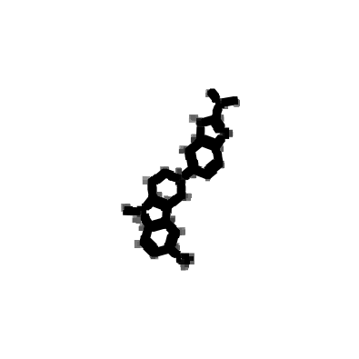 CN(C)c1nc2ccc(N3CCc4c(c5cc(O)ccc5n4C)C3)cc2s1